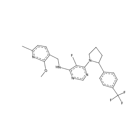 COc1nc(C)ccc1CNc1ncnc(N2CCCC2c2ccc(C(F)(F)F)cc2)c1F